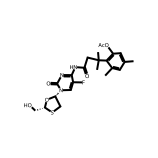 CC(=O)Oc1cc(C)cc(C)c1C(C)(C)CC(=O)Nc1nc(=O)n([C@@H]2CS[C@H](CO)O2)cc1F